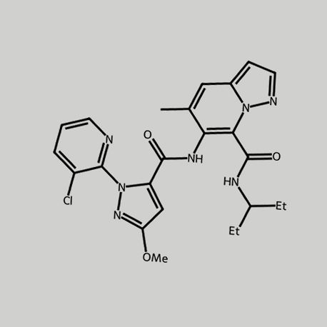 CCC(CC)NC(=O)c1c(NC(=O)c2cc(OC)nn2-c2ncccc2Cl)c(C)cc2ccnn12